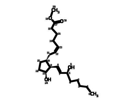 CCCCC[C@H](O)/C=C/[C@@H]1[C@@H](C/C=C\CCCC(=O)OC)CC[C@H]1O